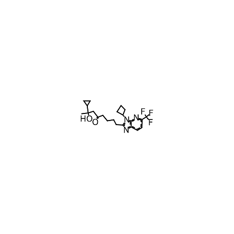 CC(O)(CC(=O)CCCCc1nc2ccc(C(F)(F)F)nc2n1C1CCC1)C1CC1